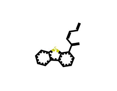 C=C/C=C\C(=C)c1cccc2c1sc1ccccc12